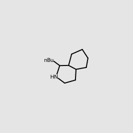 CCCCC1NCCC2CCCCC21